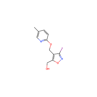 Cc1ccc(OCc2c(I)noc2CO)nc1